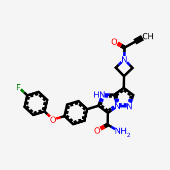 C#CC(=O)N1CC(c2cnn3c(C(N)=O)c(-c4ccc(Oc5ccc(F)cc5)cc4)[nH]c23)C1